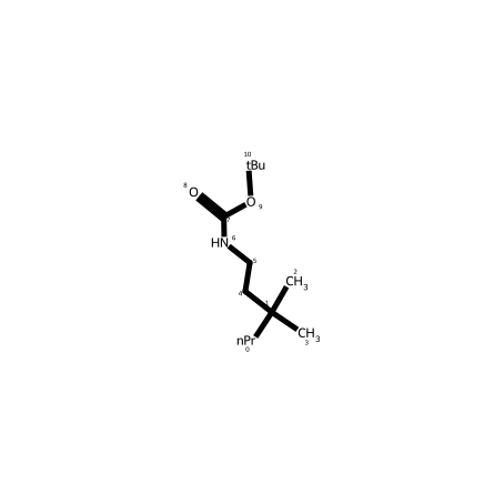 CCCC(C)(C)CCNC(=O)OC(C)(C)C